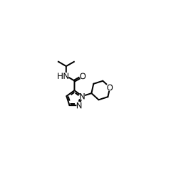 CC(C)NC(=O)c1ccnn1C1CCOCC1